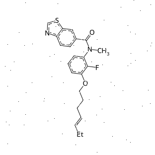 CCC=CCCCOc1cccc(N(C)C(=O)c2ccc3ncsc3c2)c1F